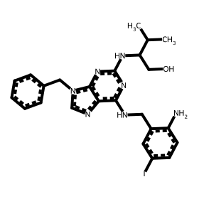 CC(C)C(CO)Nc1nc(NCc2cc(I)ccc2N)c2ncn(Cc3ccccc3)c2n1